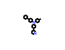 Cc1ccc(N(c2ccc(-c3ccccc3)cc2)c2ccc(-c3cccnc3)cc2)cc1